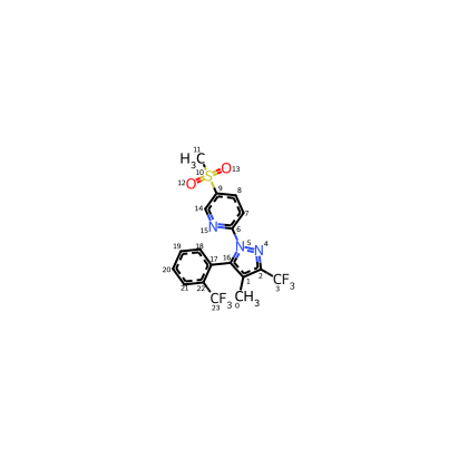 Cc1c(C(F)(F)F)nn(-c2ccc(S(C)(=O)=O)cn2)c1-c1ccccc1C(F)(F)F